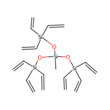 C=C[Si](C=C)(C=C)O[Si](C)(O[Si](C=C)(C=C)C=C)O[Si](C=C)(C=C)C=C